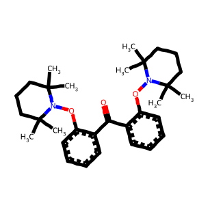 CC1(C)CCCC(C)(C)N1Oc1ccccc1C(=O)c1ccccc1ON1C(C)(C)CCCC1(C)C